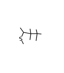 CSC(C)C(C)(C)C(C)(C)C